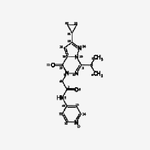 CC(C)c1nn(CC(=O)Nc2ccncc2)c(=O)c2cc(C3CC3)nn12